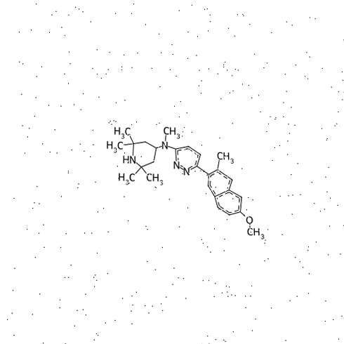 COc1ccc2cc(-c3ccc(N(C)C4CC(C)(C)NC(C)(C)C4)nn3)c(C)cc2c1